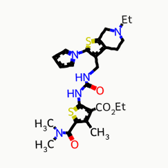 CCOC(=O)c1c(NC(=O)NCc2c(-n3cccc3)sc3c2CCN(CC)C3)sc(C(=O)N(C)C)c1C